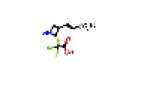 CCOC(=O)/C=C/C1CNC1.O=C(O)C(F)(F)F